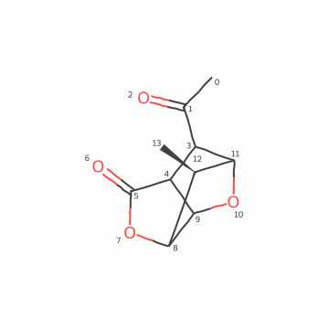 CC(=O)C1C2C(=O)OC3C2OC1[C@@H]3C